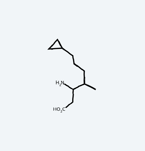 CC(CCCC1CC1)C(N)CC(=O)O